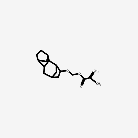 C=C(C)C(=O)OCOC1CC2CC3C4CCC(C4)C3C1C2